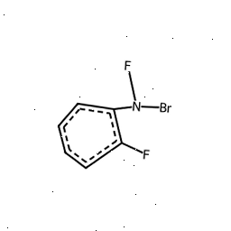 Fc1ccccc1N(F)Br